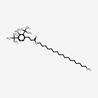 CCCCCCCCCCCCCCCCCCOC(=O)CCc1ccc(C(C)(C)C)c(O)c1C(C)(C)C